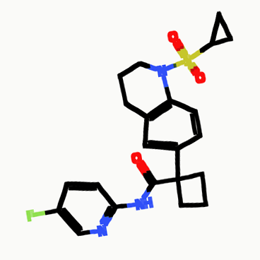 O=C(Nc1ccc(F)cn1)C1(c2ccc3c(c2)CCCN3S(=O)(=O)C2CC2)CCC1